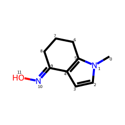 Cn1ccc2c1CCCC2=NO